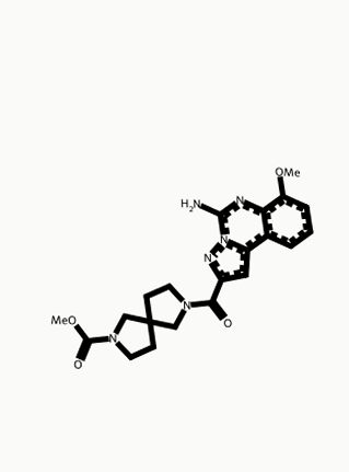 COC(=O)N1CCC2(CCN(C(=O)c3cc4c5cccc(OC)c5nc(N)n4n3)C2)C1